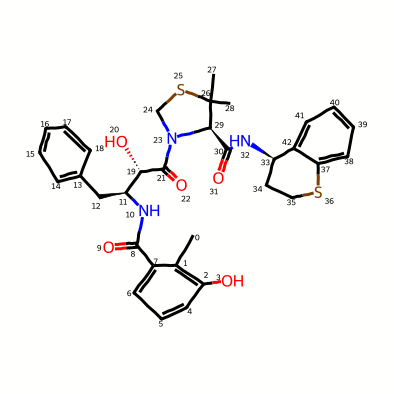 Cc1c(O)cccc1C(=O)N[C@@H](Cc1ccccc1)[C@H](O)C(=O)N1CSC(C)(C)[C@H]1C(=O)N[C@@H]1CCSc2ccccc21